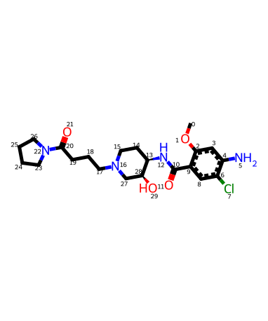 COc1cc(N)c(Cl)cc1C(=O)N[C@@H]1CCN(CCCC(=O)N2CCCC2)C[C@@H]1O